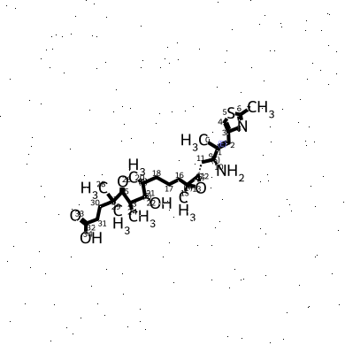 C/C(=C\c1csc(C)n1)[C@@H](N)C[C@@H]1O[C@]1(C)CCC[C@H](C)[C@H](O)C(C)C(=O)C(C)(C)CCC(=O)O